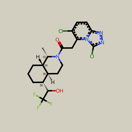 C[C@H]1[C@H]2CCC[C@@H](C(O)C(F)(F)F)[C@@H]2CCN1C(=O)Cc1c(Cl)ccc2nnc(Cl)n12